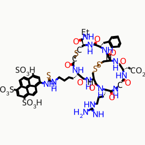 CCNC(=O)[C@@H]1CSCC(=O)N[C@@H](CCCCNC(=S)Nc2cc(S(=O)(=O)O)c3ccc4c(S(=O)(=O)O)cc(S(=O)(=O)O)c5ccc2c3c54)C(=O)N[C@H]2CSSC[C@H](NC(=O)[C@H](CC(=O)O)NC(=O)CNC(=O)[C@H](CCCNC(=N)N)NC2=O)C(=O)N[C@@H](Cc2ccccc2)C(=O)N1